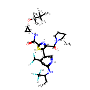 CCC(Nc1cc(C(F)F)c(-c2sc(C(=O)N[C@@H]3C[C@@H]3O[Si](C)(C)C(C)(C)C)nc2C(=O)N2CCC[C@@H]2C)cn1)C(F)(F)F